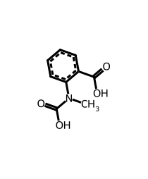 CN(C(=O)O)c1ccccc1C(=O)O